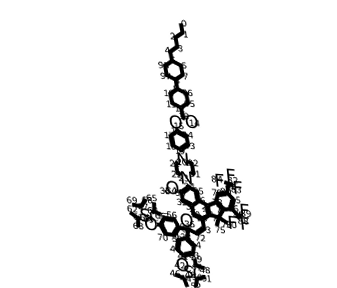 CCCCCC1CCC(C2CCC(C(=O)Oc3ccc(N4CCN(c5cc6c7c(c8c(c6cc5OC)OC(c5ccc(O[Si](C(C)C)(C(C)C)C(C)C)cc5)(c5ccc(O[Si](C(C)C)(C(C)C)C(C)C)cc5)C=C8)C(C)(C)c5c-7cc(C(F)(F)F)cc5C(F)(F)F)CC4)cc3)CC2)CC1